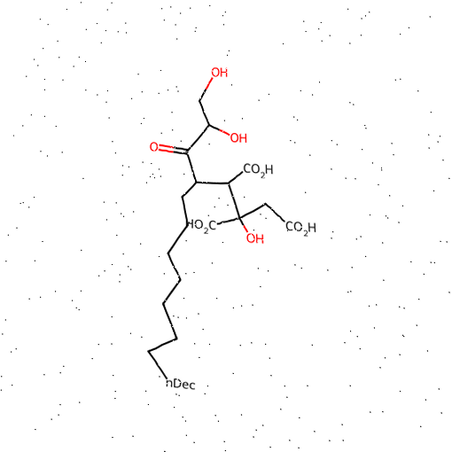 CCCCCCCCCCCCCCCCCC(C(=O)C(O)CO)C(C(=O)O)C(O)(CC(=O)O)C(=O)O